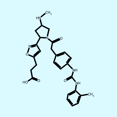 CNC1CC(c2cc(CCC(=O)O)on2)N(C(=O)Cc2ccc(NC(=O)Nc3ccccc3C)cc2)C1